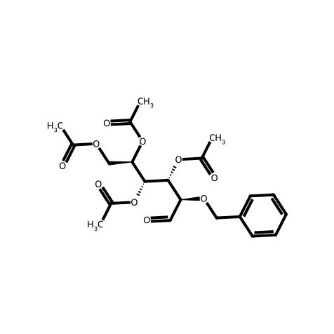 CC(=O)OC[C@@H](OC(C)=O)[C@@H](OC(C)=O)[C@H](OC(C)=O)[C@H](C=O)OCc1ccccc1